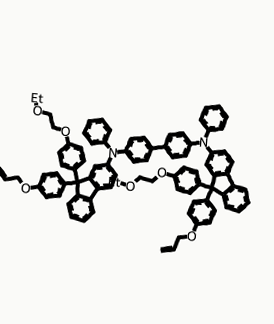 C=CCOc1ccc(C2(c3ccc(OCCOCC)cc3)c3ccccc3-c3ccc(N(c4ccccc4)c4ccc(-c5ccc(N(c6ccccc6)c6ccc7c(c6)C(c6ccc(OCC=C)cc6)(c6ccc(OCCOCC)cc6)c6ccccc6-7)cc5)cc4)cc32)cc1